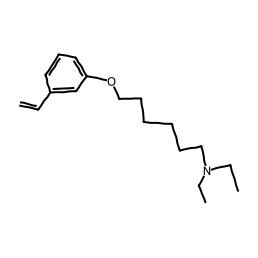 C=Cc1cccc(OCCCCCCN(CC)CC)c1